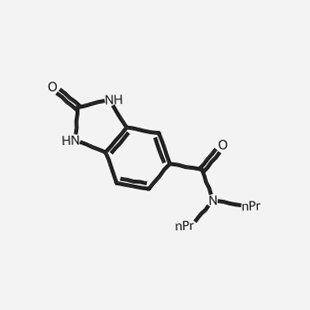 CCCN(CCC)C(=O)c1ccc2[nH]c(=O)[nH]c2c1